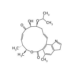 Cc1cc2c(c3c1C(=O)O[C@@H](C)[C@H](C)/C=C\C(=O)[C@@H](O)[C@@H](OC(C)C)C/C=C/3)N=CC2